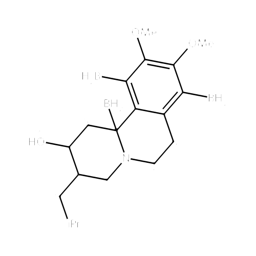 Bc1c2c(c(B)c(OC)c1OC)C1(B)CC(O)C(CC(C)C)CN1CC2